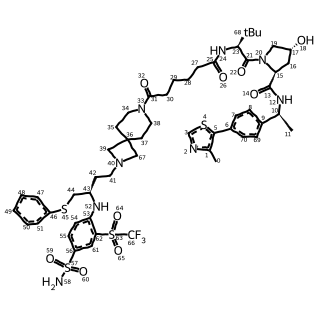 Cc1ncsc1-c1ccc([C@H](C)NC(=O)[C@@H]2C[C@@H](O)CN2C(=O)[C@@H](NC(=O)CCCCC(=O)N2CCC3(CC2)CN(CC[C@H](CSc2ccccc2)Nc2ccc(S(N)(=O)=O)cc2S(=O)(=O)C(F)(F)F)C3)C(C)(C)C)cc1